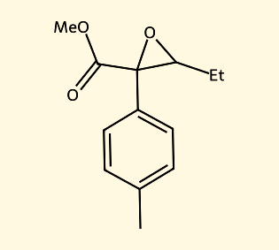 CCC1OC1(C(=O)OC)c1ccc(C)cc1